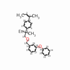 C/C=C(/C)c1ccc(C(C)(CC)COCc2cccc(Oc3ccccc3)c2)cc1